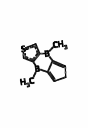 CB1C2=CCC=C2B(C)c2cscc21